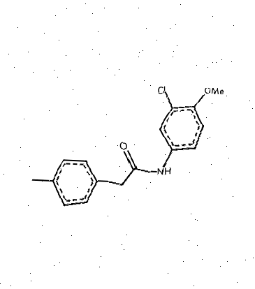 COc1ccc(NC(=O)Cc2ccc(C)cc2)cc1Cl